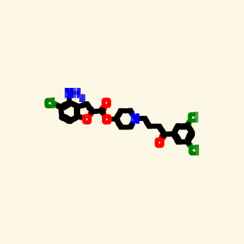 Nc1c(Cl)ccc2c1CC(C(=O)OC1CCN(CCCC(=O)c3cc(Cl)cc(Cl)c3)CC1)O2